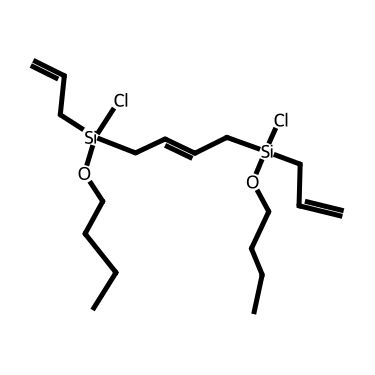 C=CC[Si](Cl)(CC=CC[Si](Cl)(CC=C)OCCCC)OCCCC